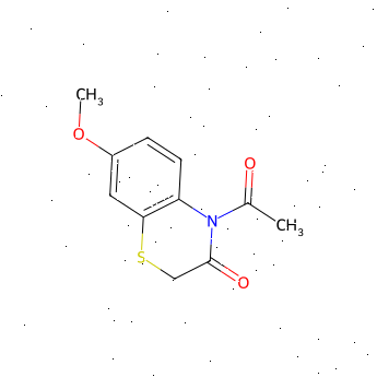 COc1ccc2c(c1)SCC(=O)N2C(C)=O